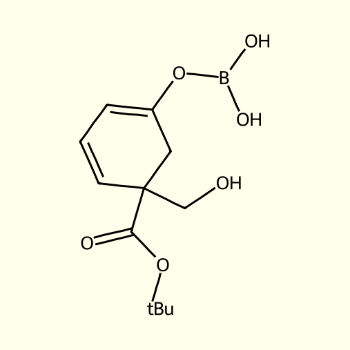 CC(C)(C)OC(=O)C1(CO)C=CC=C(OB(O)O)C1